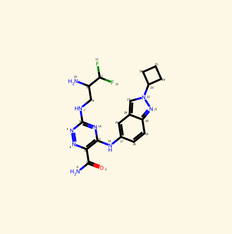 NC(=O)c1nnc(NCC(N)C(F)F)nc1Nc1ccc2nn(C3CCC3)cc2c1